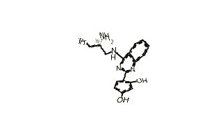 CC(C)C[C@H](N)CNc1nc(-c2ccc(O)cc2O)nc2ccccc12